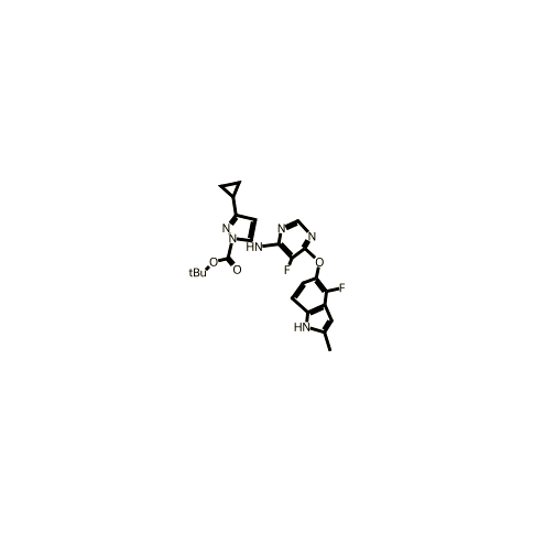 Cc1cc2c(F)c(Oc3ncnc(Nc4cc(C5CC5)nn4C(=O)OC(C)(C)C)c3F)ccc2[nH]1